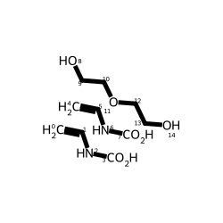 C=CNC(=O)O.C=CNC(=O)O.OCCOCCO